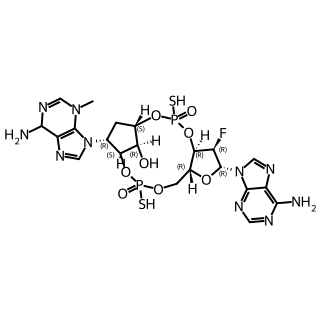 CN1C=NC(N)c2ncn([C@@H]3C[C@@H]4OP(=O)(S)O[C@H]5[C@@H](F)[C@H](n6cnc7c(N)ncnc76)O[C@@H]5COP(=O)(S)O[C@@H]3[C@@H]4O)c21